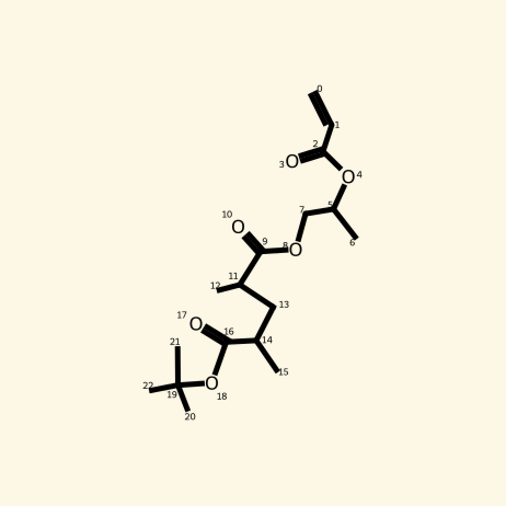 C=CC(=O)OC(C)COC(=O)C(C)CC(C)C(=O)OC(C)(C)C